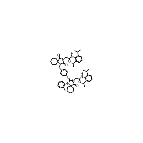 CC(C)c1cccc(C(C)C)c1NC(=O)CN1C(=O)N(Cc2ccccc2)C2(CCCCC2)C1=O.Cc1ccccc1N1C(=O)N(CC(=O)Nc2c(C(C)C)cccc2C(C)C)C(=O)C12CCCCC2